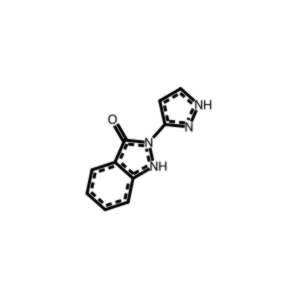 O=c1c2ccccc2[nH]n1-c1cc[nH]n1